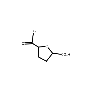 CCC(=O)C1CCC(C(=O)O)O1